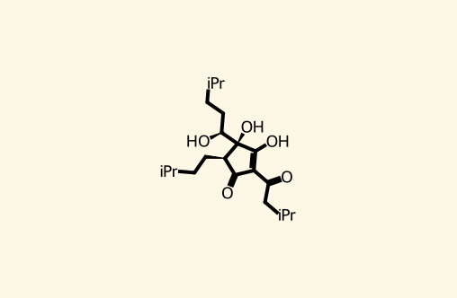 CC(C)CC[C@@H]1C(=O)C(C(=O)CC(C)C)=C(O)[C@@]1(O)[C@@H](O)CCC(C)C